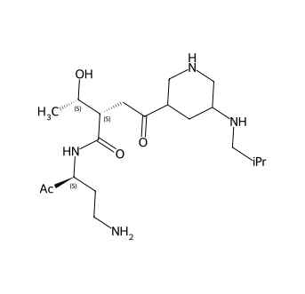 CC(=O)[C@H](CCN)NC(=O)[C@@H](CC(=O)C1CNCC(NCC(C)C)C1)[C@H](C)O